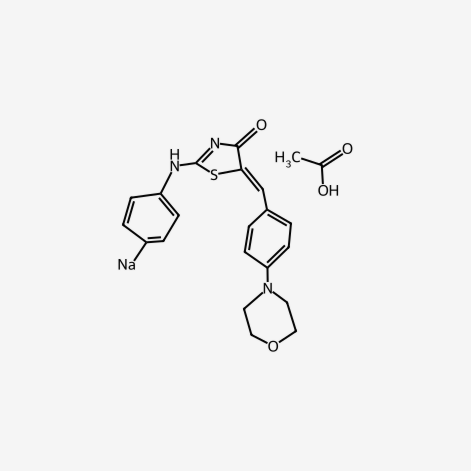 CC(=O)O.O=C1N=C(Nc2cc[c]([Na])cc2)SC1=Cc1ccc(N2CCOCC2)cc1